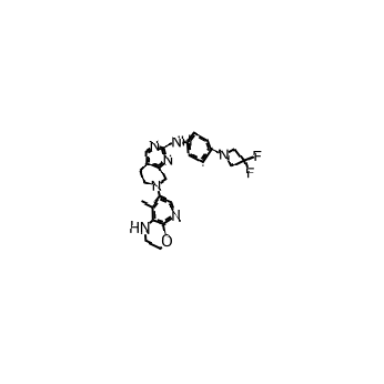 Cc1c(N2CCc3cnc(Nc4c[c]c(N5CC(F)(F)C5)cc4)nc3C2)cnc2c1NCCO2